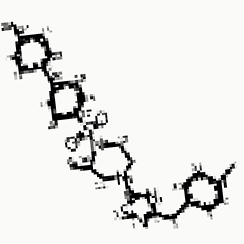 Cc1ccc(Cc2nsc(N3CCN(S(=O)(=O)c4ccc(-c5ccc(C)cc5)cc4)C(C)C3)n2)cc1